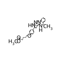 COC(=O)CCCCOc1ccc(-c2cc3c(NC(C)c4ccccc4)ncnc3[nH]2)cc1